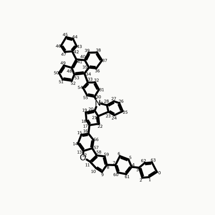 c1ccc(-c2ccc(-c3ccc4oc5ccc(-c6ccc7c(c6)c6ccccc6n7-c6ccc(-c7c8ccccc8c(-c8ccccc8)c8ccccc78)cc6)cc5c4c3)cc2)cc1